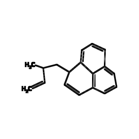 C=CC(C)CC1C=Cc2cccc3cccc1c23